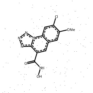 COc1cc2cc(C(=O)NO)c3nnnn3c2cc1Cl